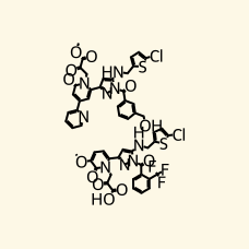 COC(=O)C(=O)Cn1c(-c2cc(NCc3ccc(Cl)s3)n(C(=O)c3cccc(CO)c3)n2)cc(-c2ccccn2)cc1=O.COc1ccc(-c2cc(NCc3ccc(Cl)s3)n(C(=O)c3ccccc3C(F)(F)F)n2)n(CC(=O)C(=O)O)c1=O